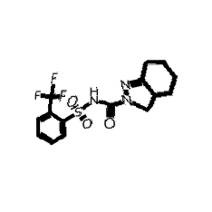 O=C(NS(=O)(=O)c1ccccc1C(F)(F)F)N1CC2CCCCC2=N1